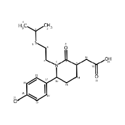 CC(C)SCCN1C(=O)C(CC(=O)O)CCC1c1ccc(Cl)cc1